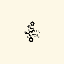 CCn1c(C(C#N)c2cc(C)nc(NC3CCCC3)n2)nc2ccccc21